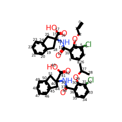 C=CCOc1c(Cl)cccc1C(=O)NC1(C(=O)O)Cc2ccccc2C1.CC(C)Oc1c(Cl)cccc1C(=O)NC1(C(=O)O)Cc2ccccc2C1